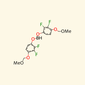 COCOc1ccc(OBOc2ccc(OCOC)c(F)c2F)c(F)c1F